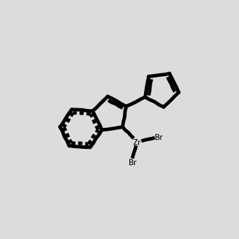 [Br][Zr]([Br])[CH]1C(C2=CC=CC2)=Cc2ccccc21